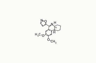 COc1cc2c(cc1OC)[C@@H]1CCCC[C@@H]1N=C2c1ccno1